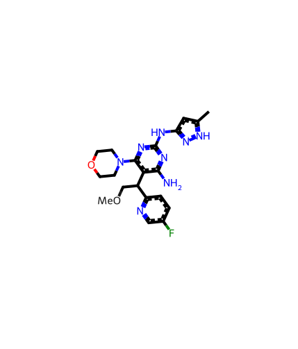 COCC(c1ccc(F)cn1)c1c(N)nc(Nc2cc(C)[nH]n2)nc1N1CCOCC1